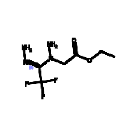 CCOC(=O)CN(N)/C(=N\N)C(F)(F)F